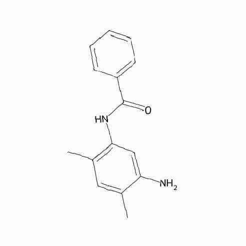 Cc1cc(C)c(NC(=O)c2ccccc2)cc1N